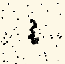 CC(C)CCCC(C)CCCC(C)CCCC(C)CC(=O)OCC(O)CO